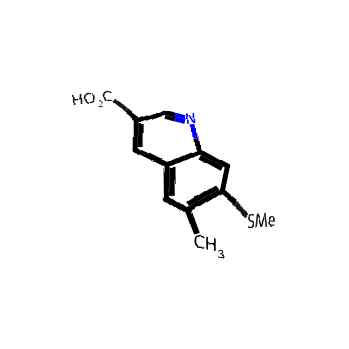 CSc1cc2ncc(C(=O)O)cc2cc1C